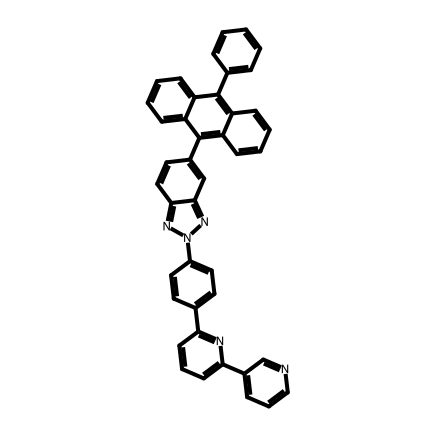 c1ccc(-c2c3ccccc3c(-c3ccc4nn(-c5ccc(-c6cccc(-c7cccnc7)n6)cc5)nc4c3)c3ccccc23)cc1